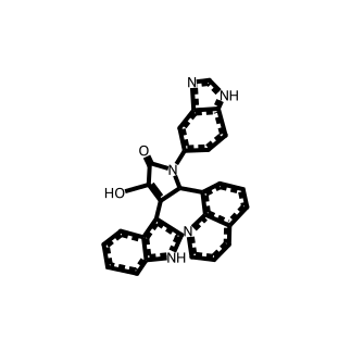 O=C1C(O)=C(c2c[nH]c3ccccc23)C(c2cccc3cccnc23)N1c1ccc2[nH]cnc2c1